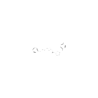 O=C(O)[C@@H]1CC(Oc2ccc(F)cc2)CN1C(=O)CP(=O)(O)CCCCc1ccccc1